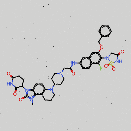 Cn1c(=O)n(C2CCC(=O)NC2=O)c2ccc3c(c21)CCCN3C1CCN(CC(=O)Nc2ccc3c(F)c(N4CC(=O)NS4(=O)=O)c(OCc4ccccc4)cc3c2)CC1